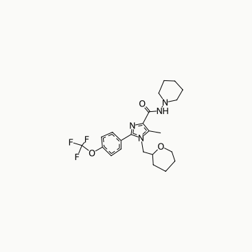 Cc1c(C(=O)NN2CCCCC2)nc(-c2ccc(OC(F)(F)F)cc2)n1CC1CCCCO1